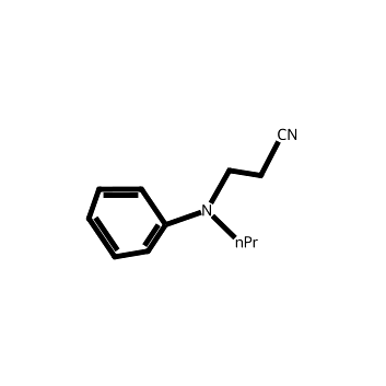 CCCN(CCC#N)c1ccccc1